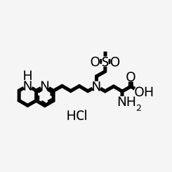 CS(=O)(=O)CCN(CCCCc1ccc2c(n1)NCCC2)CCC(N)C(=O)O.Cl